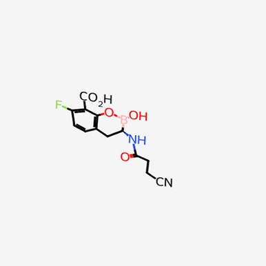 N#CCCC(=O)N[C@H]1Cc2ccc(F)c(C(=O)O)c2OB1O